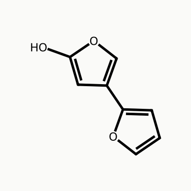 Oc1cc(-c2ccco2)co1